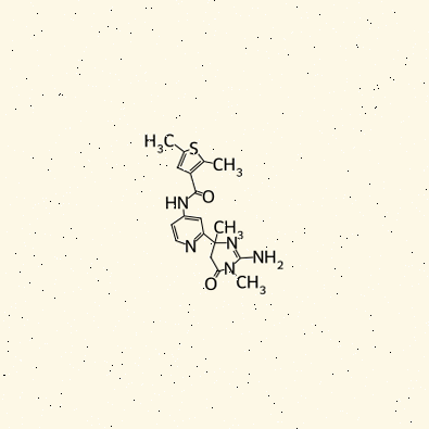 Cc1cc(C(=O)Nc2ccnc(C3(C)CC(=O)N(C)C(N)=N3)c2)c(C)s1